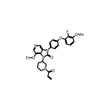 C=CC(=O)N1CCCC(n2c(=O)n(-c3ccc(Oc4cccc(OC)c4F)cc3)c3cncc(OCC)c32)C1